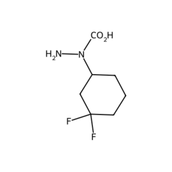 NN(C(=O)O)C1CCCC(F)(F)C1